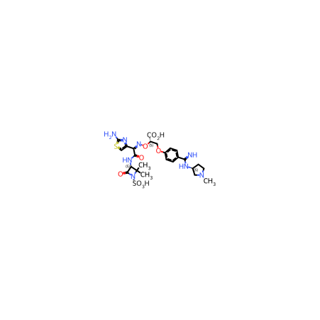 CN1CC[C@H](NC(=N)c2ccc(OC[C@H](ON=C(C(=O)N[C@@H]3C(=O)N(S(=O)(=O)O)C3(C)C)c3csc(N)n3)C(=O)O)cc2)C1